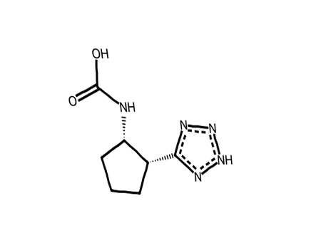 O=C(O)N[C@H]1CCC[C@H]1c1nn[nH]n1